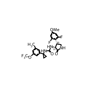 COc1cc(F)c([C@@H]2CNC(=O)[C@H]2NC(=O)NC2(c3cc(C)cc(OC(F)(F)F)c3)CC2)c(F)c1